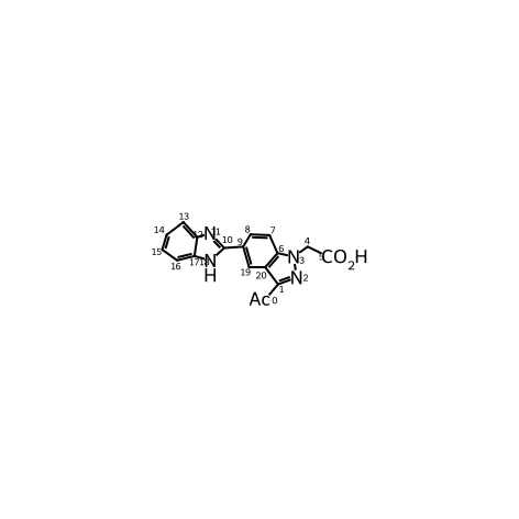 CC(=O)c1nn(CC(=O)O)c2ccc(-c3nc4ccccc4[nH]3)cc12